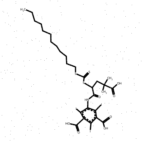 CCCCCCCCCCCCSC(=S)SC(CC(C)(C)C(=O)O)C(=O)Nc1c(I)c(C(=O)O)c(I)c(C(=O)O)c1I